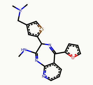 CNC1=Nc2ncccc2C(c2ccco2)=NC1c1cc(CN(C)C)cs1